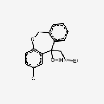 CCNCC1(O)c2ccccc2COc2ccc(Cl)cc21